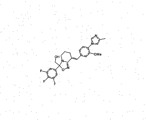 COc1cc(/C=C2\CCCN3C2=NOC3(CO)c2cc(F)c(F)c(F)c2)ccc1-n1cnc(C)c1